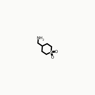 NCC1CCS(=O)(=O)CC1